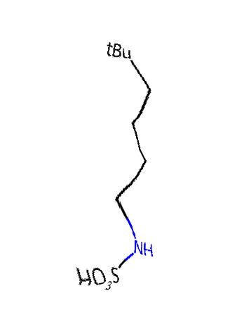 CC(C)(C)CCCCNS(=O)(=O)O